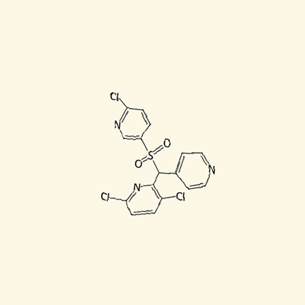 O=S(=O)(c1ccc(Cl)nc1)C(c1ccncc1)c1nc(Cl)ccc1Cl